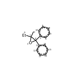 CCC1(C)OC1(c1ccccc1)c1ccccc1